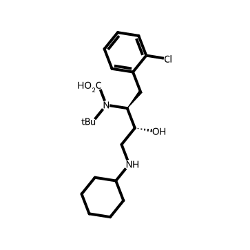 CC(C)(C)N(C(=O)O)[C@@H](Cc1ccccc1Cl)[C@H](O)CNC1CCCCC1